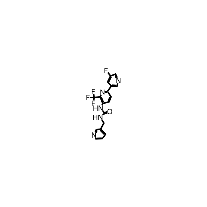 O=C(NCc1cccnc1)Nc1ccc(-c2cncc(F)c2)nc1C(F)(F)F